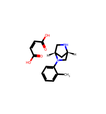 Cc1ccccc1N1C[C@@H]2C[C@H]1CN2.O=C(O)/C=C\C(=O)O